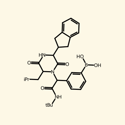 CC(C)CC1C(=O)NC(C2Cc3ccccc3C2)C(=O)N1C(C(=O)NC(C)(C)C)c1cccc(B(O)O)c1